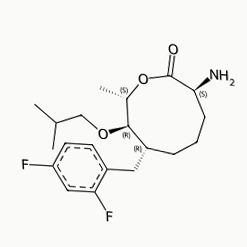 CC(C)CO[C@@H]1[C@@H](Cc2ccc(F)cc2F)CCC[C@H](N)C(=O)O[C@H]1C